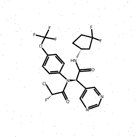 O=C(N[C@@H]1CCC(F)(F)C1)[C@@H](c1cncnc1)N(C(=O)[C@H](F)Cl)c1ccc(OC(F)(F)F)cc1